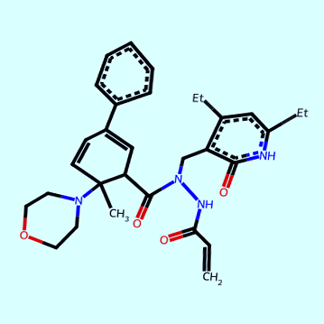 C=CC(=O)NN(Cc1c(CC)cc(CC)[nH]c1=O)C(=O)C1C=C(c2ccccc2)C=CC1(C)N1CCOCC1